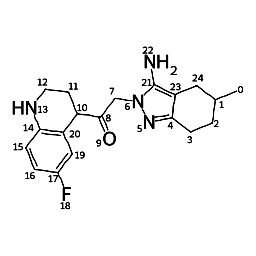 CC1CCc2nn(CC(=O)C3CCNc4ccc(F)cc43)c(N)c2C1